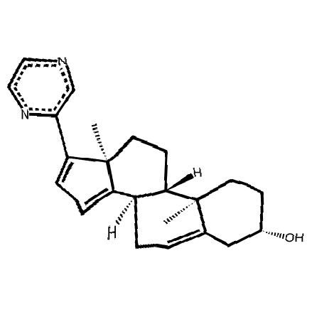 C[C@]12CC[C@H]3[C@@H](CC=C4C[C@@H](O)CC[C@@]43C)C1=CC=C2c1cnccn1